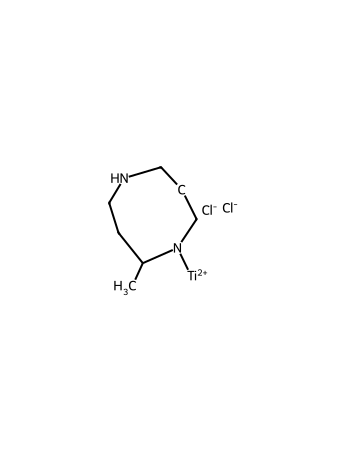 CC1CCNCCC[N]1[Ti+2].[Cl-].[Cl-]